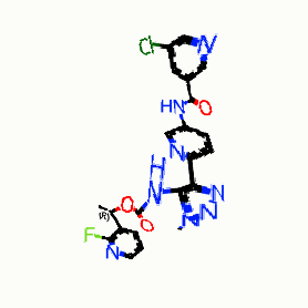 C[C@@H](OC(=O)Nc1c(-c2ccc(NC(=O)c3cncc(Cl)c3)cn2)nnn1C)c1cccnc1F